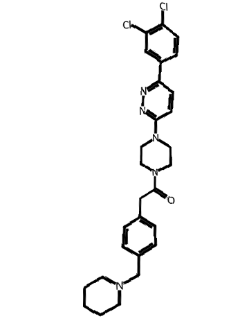 O=C(Cc1ccc(CN2CCCCC2)cc1)N1CCN(c2ccc(-c3ccc(Cl)c(Cl)c3)nn2)CC1